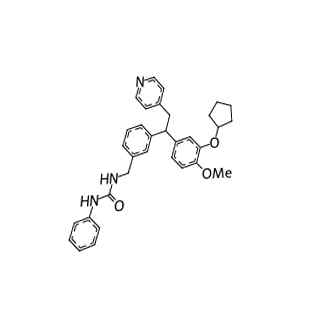 COc1ccc(C(Cc2ccncc2)c2cccc(CNC(=O)Nc3ccccc3)c2)cc1OC1CCCC1